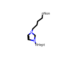 CCCCCCCCCCCCCN1C=CN(CCCCCCC)C1